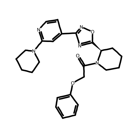 O=C(COc1ccccc1)N1CCCC[C@@H]1c1nc(-c2ccnc(N3CCCCC3)c2)no1